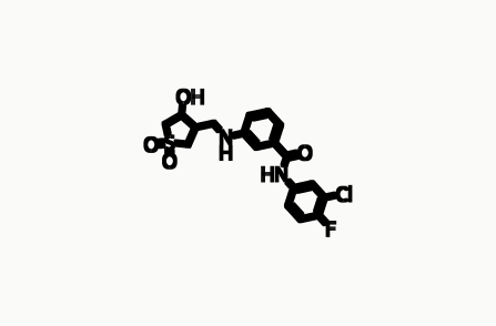 O=C(Nc1ccc(F)c(Cl)c1)c1cccc(NCC2CS(=O)(=O)CC2O)c1